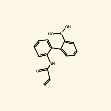 C=CC(=O)Nc1ccccc1-c1ccccc1B(O)O